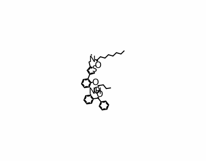 CCCCCCCC(=O)N(C)Cc1cc(-c2cccc(Nc3ccccc3C(=O)c3ccccc3)c2OC(=O)CCC)cs1